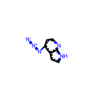 [N-]=[N+]=Nc1ccnc2[nH]ccc12